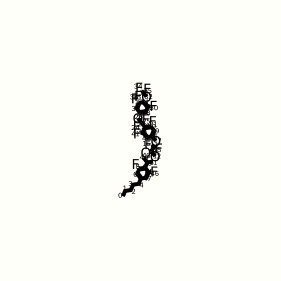 CCCCCc1cc(F)c(C2COC(C(F)(F)Oc3cc(F)c(C(F)(F)Oc4cc(F)c(OC(F)(F)F)c(F)c4)c(F)c3)OC2)c(F)c1